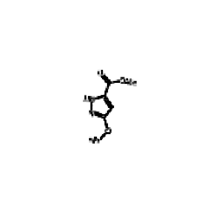 CCCOc1cc(C(=O)OC)[nH]n1